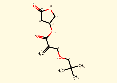 C=C(COCC(C)(C)C)C(=O)OC1COC(=O)C1